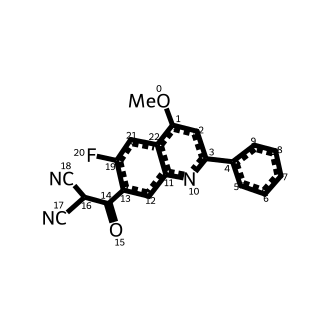 COc1cc(-c2ccccc2)nc2cc(C(=O)C(C#N)C#N)c(F)cc12